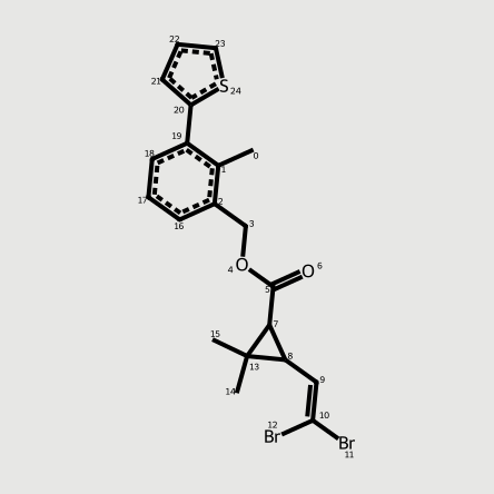 Cc1c(COC(=O)C2C(C=C(Br)Br)C2(C)C)cccc1-c1cccs1